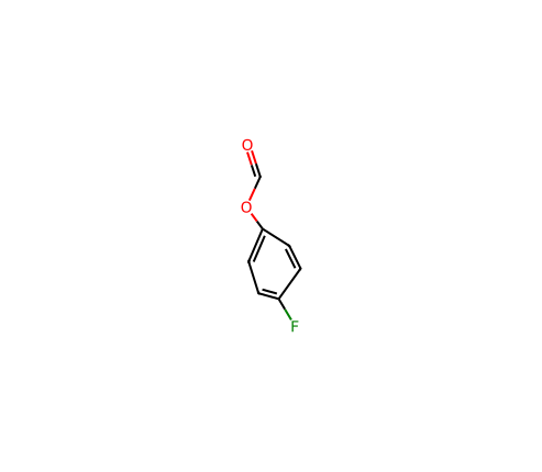 O=COc1ccc(F)cc1